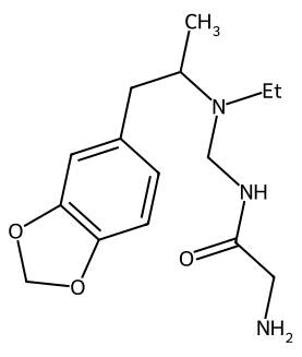 CCN(CNC(=O)CN)C(C)Cc1ccc2c(c1)OCO2